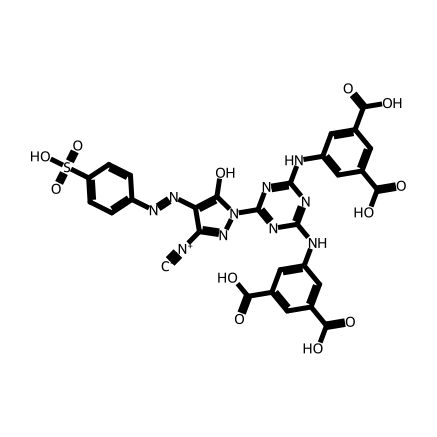 [C-]#[N+]c1nn(-c2nc(Nc3cc(C(=O)O)cc(C(=O)O)c3)nc(Nc3cc(C(=O)O)cc(C(=O)O)c3)n2)c(O)c1/N=N/c1ccc(S(=O)(=O)O)cc1